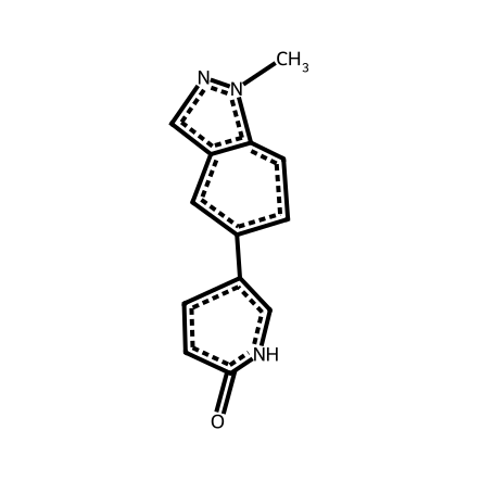 Cn1ncc2cc(-c3ccc(=O)[nH]c3)ccc21